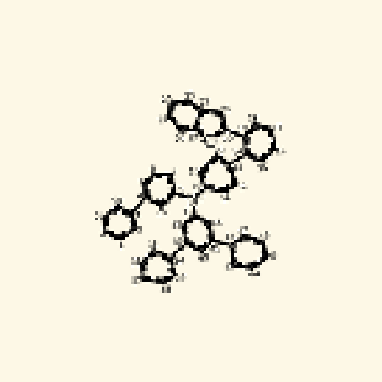 c1ccc(-c2cccc(N(c3ccc(-c4ccccc4-c4cc5ccccc5o4)cc3)c3cc(-c4ccccc4)cc(-c4ccccc4)c3)c2)cc1